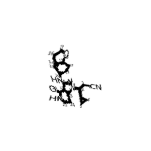 N#CCC(C1CC1)n1nc(Nc2ccc3c(c2)CCO3)c2c(=O)[nH]ccc21